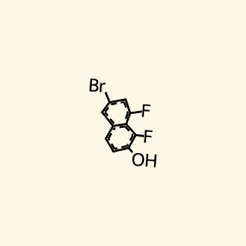 Oc1ccc2cc(Br)cc(F)c2c1F